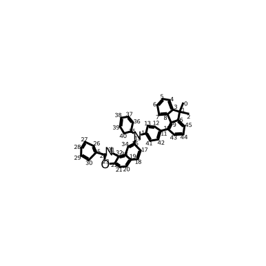 CC1(C)c2ccccc2-c2c(-c3ccc(N(c4ccc5ccc6oc(-c7ccccc7)nc6c5c4)C4C=CC=CC4)cc3)cccc21